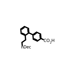 CCCCCCCCCCCCc1ccccc1-c1ccc(C(=O)O)cc1